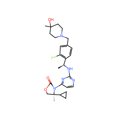 C[C@H](Nc1nccc(N2C(=O)OC[C@]2(C)C2CC2)n1)c1ccc(CN2CCC(C)(O)CC2)cc1F